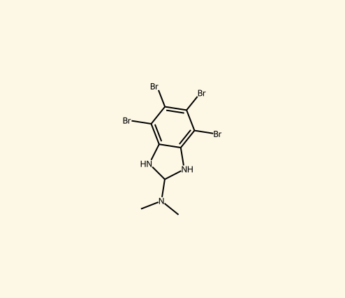 CN(C)C1Nc2c(Br)c(Br)c(Br)c(Br)c2N1